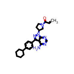 C=CC(=O)N1CCC(n2nc(-c3ccc(C4CCCCC4)cc3)c3c(N)ncnc32)C1